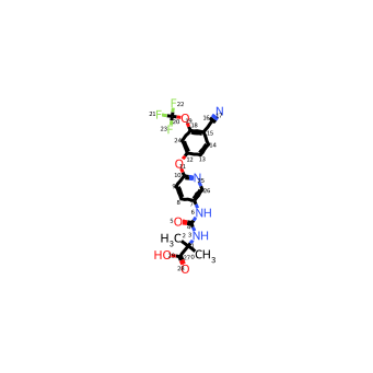 CC(C)(NC(=O)Nc1ccc(Oc2ccc(C#N)c(OC(F)(F)F)c2)nc1)C(=O)O